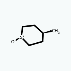 C[C@H]1CC[S@@+]([O-])CC1